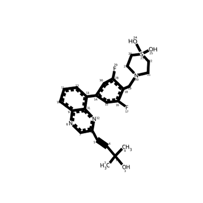 CC(C)(O)C#Cc1cnc2cccc(-c3cc(F)c(CN4CCS(O)(O)CC4)c(F)c3)c2n1